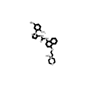 Cc1ccc(C(C)(C)C)cc1-n1nccc1NC(=O)Nc1ccc(OCC[N+]2(O)CCOCC2)c2ccccc12